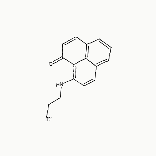 CC(C)CCNc1ccc2cccc3c2c1C(=O)C=C3